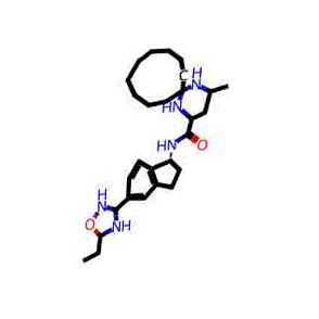 CCC1NC(c2ccc3c(c2)CC[C@H]3NC(=O)C2CC(C)NC3(CCCCCCCCC3)N2)NO1